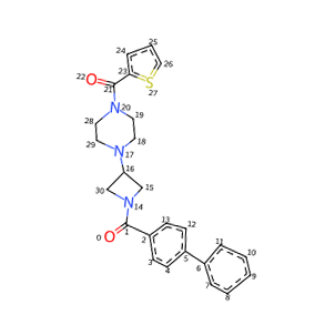 O=C(c1ccc(-c2ccccc2)cc1)N1CC(N2CCN(C(=O)c3cccs3)CC2)C1